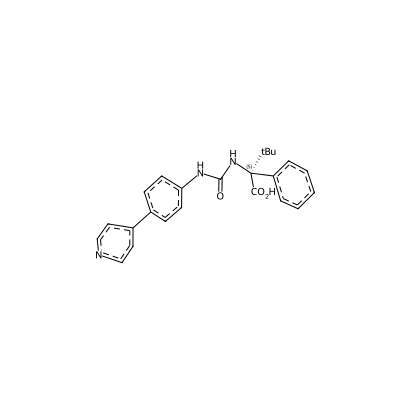 CC(C)(C)[C@@](NC(=O)Nc1ccc(-c2ccncc2)cc1)(C(=O)O)c1ccccc1